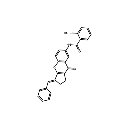 O=C(O)c1ccccc1C(=O)Nc1ccc2oc3c(c(=O)c2c1)CCC3=Cc1ccccc1